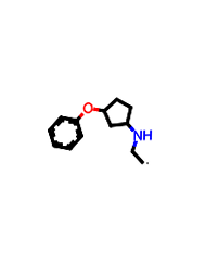 [CH2]CNC1CCC(Oc2ccccc2)C1